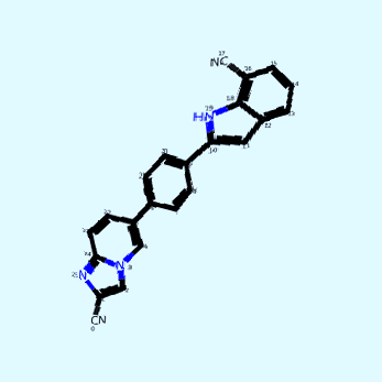 N#Cc1cn2cc(-c3ccc(-c4cc5cccc(C#N)c5[nH]4)cc3)ccc2n1